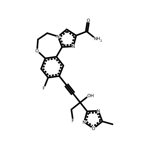 Cc1nc(C(O)(C#Cc2cc3c(cc2F)OCCn2cc(C(N)=O)nc2-3)CF)no1